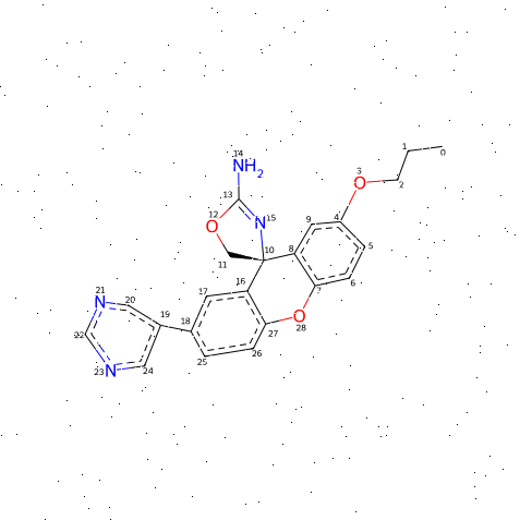 CCCOc1ccc2c(c1)[C@]1(COC(N)=N1)c1cc(-c3cncnc3)ccc1O2